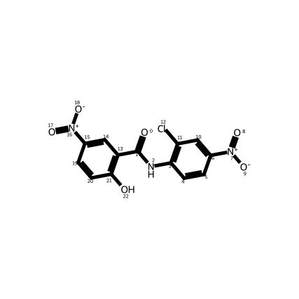 O=C(Nc1ccc([N+](=O)[O-])cc1Cl)c1cc([N+](=O)[O-])ccc1O